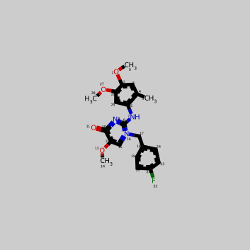 COc1cc(C)c(Nc2nc(=O)c(OC)cn2Cc2ccc(F)cc2)cc1OC